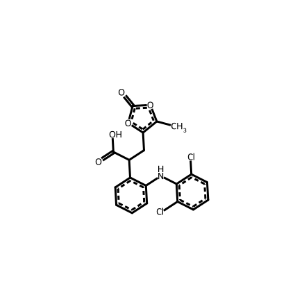 Cc1oc(=O)oc1CC(C(=O)O)c1ccccc1Nc1c(Cl)cccc1Cl